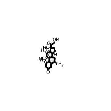 CC1=C[C@H]2[C@@H]3CC[C@](O)(C(=O)CO)[C@@]3(C)C[C@H](O)[C@]2(Cl)[C@@]2(C)C=CC(=O)C=C12